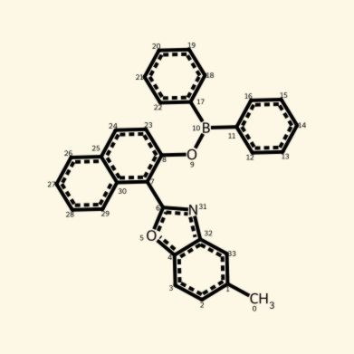 Cc1ccc2oc(-c3c(OB(c4ccccc4)c4ccccc4)ccc4ccccc34)nc2c1